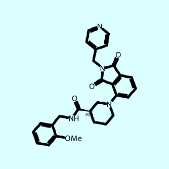 COc1ccccc1CNC(=O)[C@@H]1CCCN(c2cccc3c2C(=O)N(Cc2ccncc2)C3=O)C1